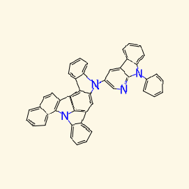 c1ccc(-n2c3ccccc3c3cc(-n4c5ccccc5c5c6c7ccc8ccccc8c7n7c8ccccc8c(cc54)c67)cnc32)cc1